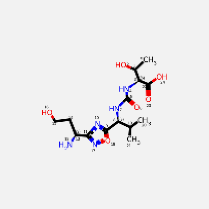 CC(O)[C@H](NC(=O)N[C@H](c1nc([C@@H](N)CCO)no1)C(C)C)C(=O)O